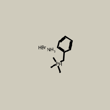 Br.C[PH](C)(C)Cc1ccccc1.N